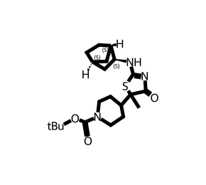 CC(C)(C)OC(=O)N1CCC(C2(C)SC(N[C@H]3C[C@H]4CC[C@H]3C4)=NC2=O)CC1